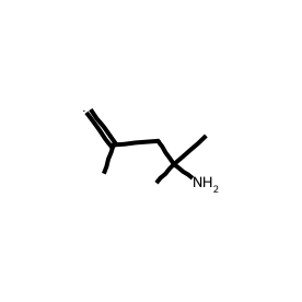 [CH]=C(C)CC(C)(C)N